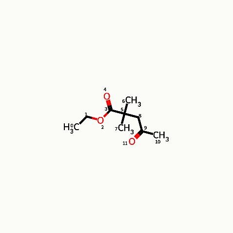 CCOC(=O)C(C)(C)CC(C)=O